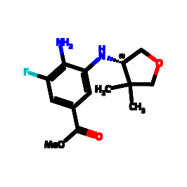 COC(=O)c1cc(F)c(N)c(N[C@@H]2COCC2(C)C)c1